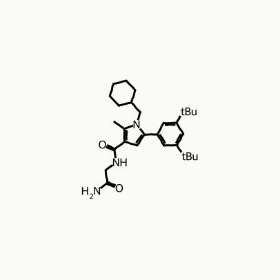 Cc1c(C(=O)NCC(N)=O)cc(-c2cc(C(C)(C)C)cc(C(C)(C)C)c2)n1CC1CCCCC1